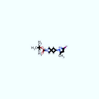 Cc1cc(I)nn1C1CC2(C1)CN(C(=O)OC(C)(C)C)C2